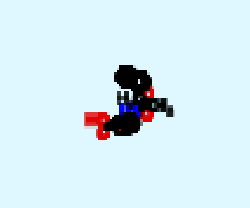 CC(C)(OC1CCc2ccccc2C1)C(=O)NC1C2CC3CC1CC(C(=O)O)(C3)C2